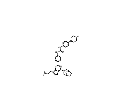 CN(C)CCn1ncc2c(N3CC4CCC(C3)O4)nc(-c3ccc(NC(=O)Nc4ccc(N5CCN(C)CC5)cc4)cc3)nc21